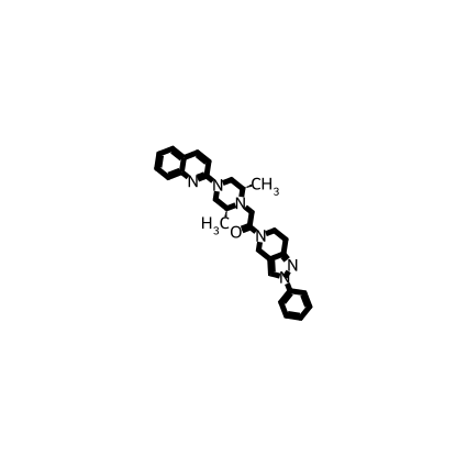 C[C@@H]1CN(c2ccc3ccccc3n2)C[C@H](C)N1CC(=O)N1CCc2nn(-c3ccccc3)cc2C1